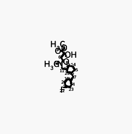 COC(=O)C(O)=CC(=O)N(C)Cc1cccc(Cc2ccc(F)cc2)c1